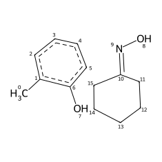 Cc1ccccc1O.ON=C1CCCCC1